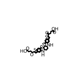 COc1cc2sc(C(=O)CCC(=O)O)cc2cc1NC1CCC(Nc2cc3cc(C(=O)CCC(=O)O)sc3cc2OC)CC1